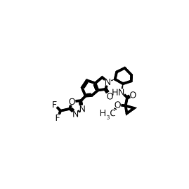 COC1(C(=O)N[C@@H]2CCCC[C@H]2N2Cc3ccc(-c4nnc(C(F)F)o4)cc3C2=O)CC1